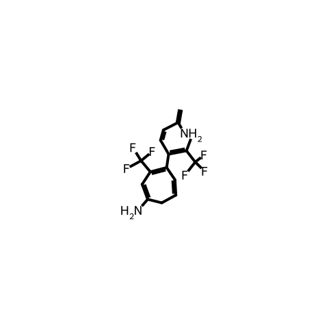 C=C(N)/C=C\C(C1=C(C(F)(F)F)C=C(N)CC=C1)=C(/C)C(F)(F)F